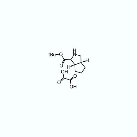 CC(C)(C)OC(=O)[C@H]1NC[C@@H]2CCC[C@@H]21.O=C(O)C(=O)O